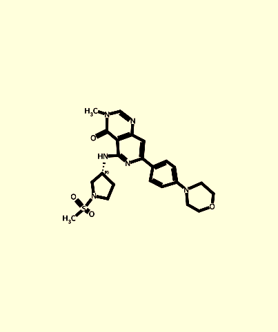 Cn1cnc2cc(-c3ccc(N4CCOCC4)cc3)nc(N[C@@H]3CCN(S(C)(=O)=O)C3)c2c1=O